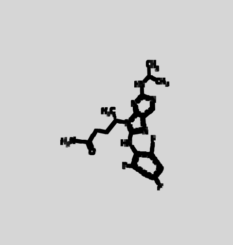 CC(C)Nc1ncc2nc(Nc3c(F)cc(F)cc3F)n([C@@H](C)CCC(N)=O)c2n1